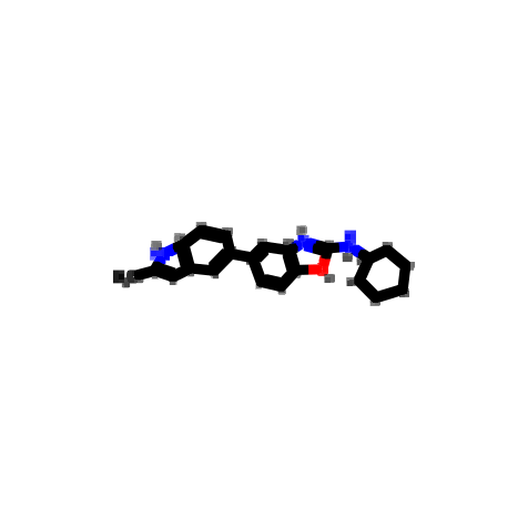 Cc1cc2cc(-c3ccc4oc(NC5CCCCC5)nc4c3)ccc2[nH]1